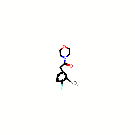 O=C(Cc1ccc(F)c([N+](=O)[O-])c1)N1CCOCC1